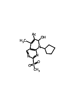 CC(=O)C1=C(C)c2cnc(S(C)(=O)=O)nc2N(C2CCCC2)C1O